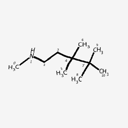 CNCCC(C)(C)C(C)(C)C